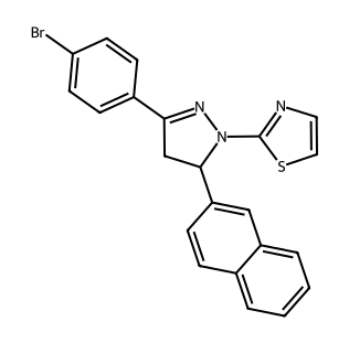 Brc1ccc(C2=NN(c3nccs3)C(c3ccc4ccccc4c3)C2)cc1